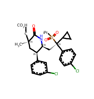 CC(C)S(=O)(=O)[C@](C[C@@H]1NC(=O)[C@](C)(CC(=O)O)C[C@@H]1c1cccc(Cl)c1)(c1ccc(Cl)cc1)C1CC1